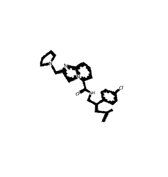 CC(C)CC(CNC(=O)c1cccc2nc(CN3CCCC3)cn12)c1ccc(Cl)cc1